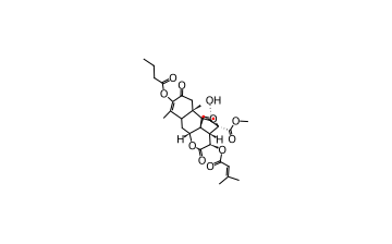 CCCC(=O)OC1=C(C)C2C[C@H]3OC(=O)[C@H](OC(=O)C=C(C)C)[C@@H]4[C@]35CO[C@]4(C(=O)OC)C[C@H](O)C5[C@@]2(C)CC1=O